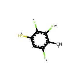 N#Cc1c(F)cc(S)c(F)c1F